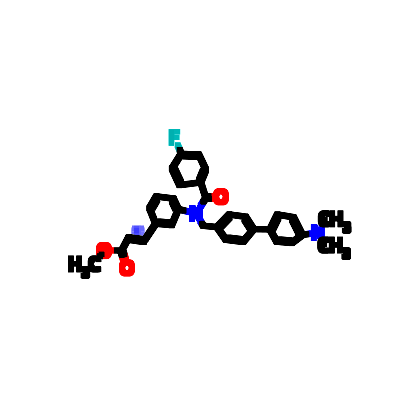 COC(=O)/C=C/c1cccc(N(Cc2ccc(-c3ccc(N(C)C)cc3)cc2)C(=O)c2ccc(F)cc2)c1